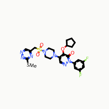 CSc1nncc(CS(=O)(=O)N2CCN(c3cnn(-c4cc(F)cc(F)c4)c(=O)c3OC3CCCC3)CC2)n1